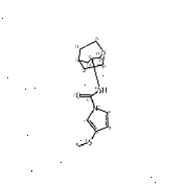 CSc1ccn(C(=O)NC2CC3CCN(CC3)C2)c1